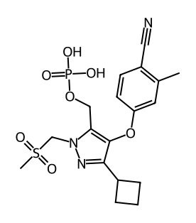 Cc1cc(Oc2c(C3CCC3)nn(CS(C)(=O)=O)c2COP(=O)(O)O)ccc1C#N